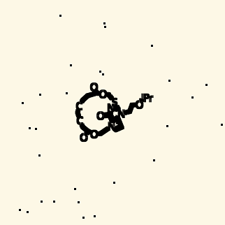 CC(C)OCCn1c2nc(=O)c3c1ccn3COC(=O)CCCCCCC(=O)OCS2